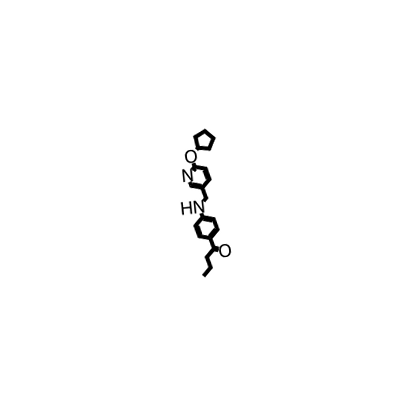 CCCC(=O)c1ccc(NCc2ccc(OC3CCCC3)nc2)cc1